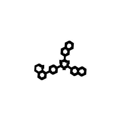 C1=Nc2c(cccc2-c2ccc(-c3nc(-c4ccc5ccccc5c4)nc(-c4ccc5ccccc5c4)n3)cc2)CC1